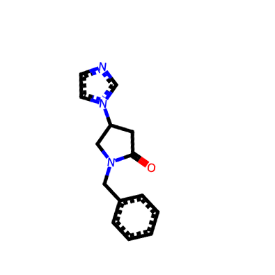 O=C1CC(n2ccnc2)CN1Cc1ccccc1